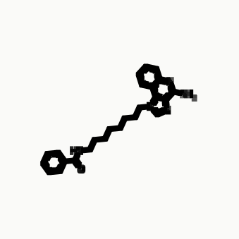 Nc1nc2ccccc2c2c1ncn2CCCCCCCCNC(=O)c1ccccc1